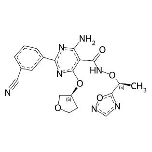 C[C@H](ONC(=O)c1c(N)nc(-c2cccc(C#N)c2)nc1O[C@H]1CCOC1)c1ncno1